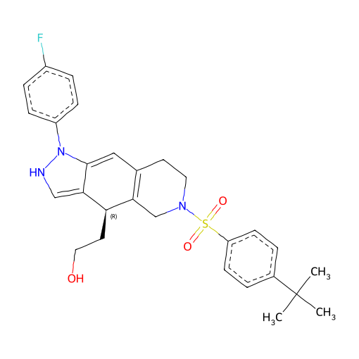 CC(C)(C)c1ccc(S(=O)(=O)N2CCC3=C(C2)[C@@H](CCO)C2=CNN(c4ccc(F)cc4)C2=C3)cc1